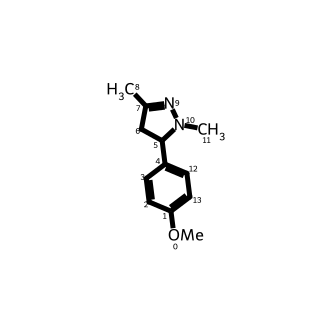 COc1ccc(C2CC(C)=NN2C)cc1